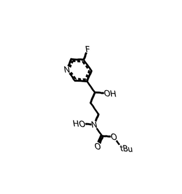 CC(C)(C)OC(=O)N(O)CCC(O)c1cncc(F)c1